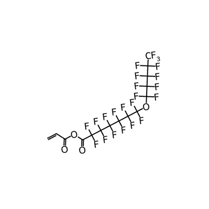 C=CC(=O)OC(=O)C(F)(F)C(F)(F)C(F)(F)C(F)(F)C(F)(F)C(F)(F)OC(F)(F)C(F)(F)C(F)(F)C(F)(F)C(F)(F)F